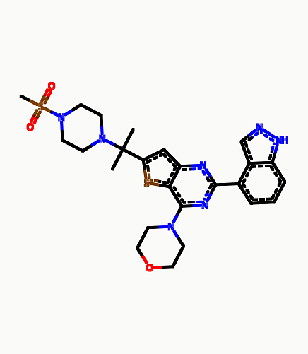 CC(C)(c1cc2nc(-c3cccc4[nH]ncc34)nc(N3CCOCC3)c2s1)N1CCN(S(C)(=O)=O)CC1